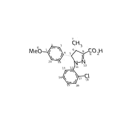 COc1ccc([C@@H]2[C@H](C)C(C(=O)O)=NN2c2ccccc2Cl)cc1